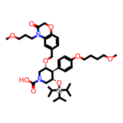 COCCCCOc1ccc([C@@H]2[C@@H](OCc3ccc4c(c3)N(CCCOC)C(=O)CO4)CN(C(=O)O)C[C@H]2O[Si](C(C)C)(C(C)C)C(C)C)cc1